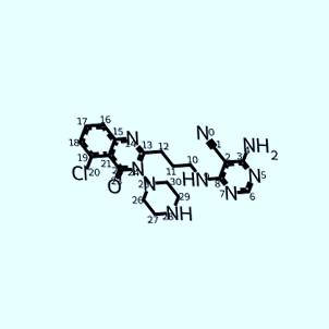 N#Cc1c(N)ncnc1NCCCc1nc2cccc(Cl)c2c(=O)n1N1CCNCC1